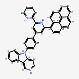 c1ccc(-c2cc(-c3ccc(-n4c5ccccc5c5cnccc54)cc3)cc(-c3ccc4ccc5cccc6ccc3c4c56)n2)nc1